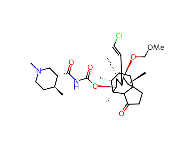 COCO[C@H]1[C@H](C)C23CCC(=O)C2[C@@](C)([C@H](C)CC3)[C@H](OC(=O)NC(=O)[C@H]2CN(C)CC[C@@H]2C)C[C@@]1(C)C=CCl